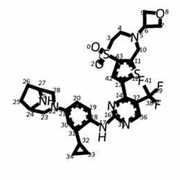 O=S1(=O)CCN(C2COC2)Cc2sc(-c3nc(Nc4ccc(N5CC6CCC(C5)N6)cc4C4CC4)ncc3C(F)(F)F)cc21